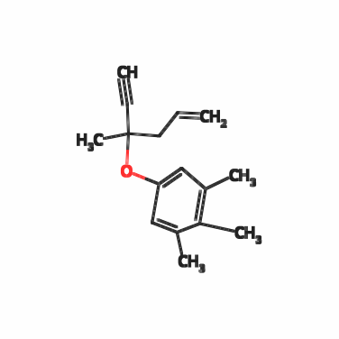 C#CC(C)(CC=C)Oc1cc(C)c(C)c(C)c1